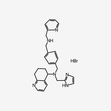 Br.c1ccc(CNCc2ccc(CN(Cc3ncc[nH]3)C3CCCc4ncccc43)cc2)nc1